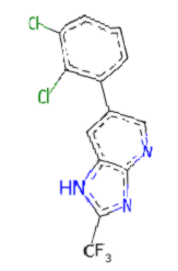 FC(F)(F)c1nc2ncc(-c3cccc(Cl)c3Cl)cc2[nH]1